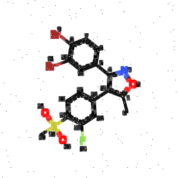 Cc1onc(-c2ccc(Br)c(Br)c2)c1-c1ccc(S(C)(=O)=O)c(F)c1